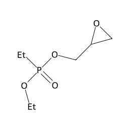 CCOP(=O)(CC)OCC1CO1